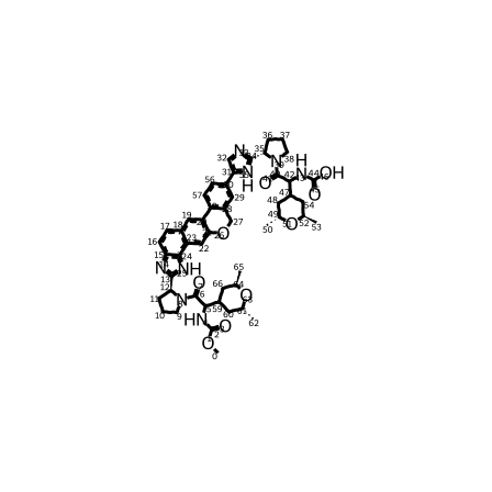 COC(=O)NC(C(=O)N1CCC[C@H]1c1nc2ccc3cc4c(cc3c2[nH]1)OCc1cc(-c2cnc([C@@H]3CCCN3C(=O)C(NC(=O)O)C3C[C@@H](C)O[C@H](C)C3)[nH]2)ccc1-4)C1C[C@@H](C)O[C@H](C)C1